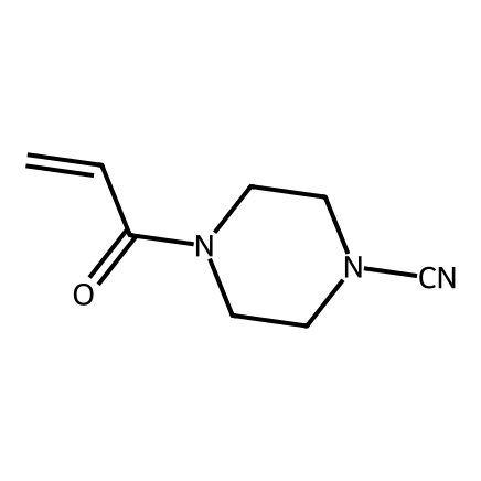 C=CC(=O)N1CCN(C#N)CC1